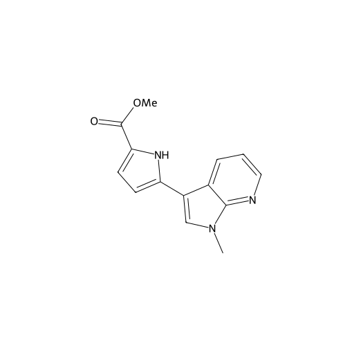 COC(=O)c1ccc(-c2cn(C)c3ncccc23)[nH]1